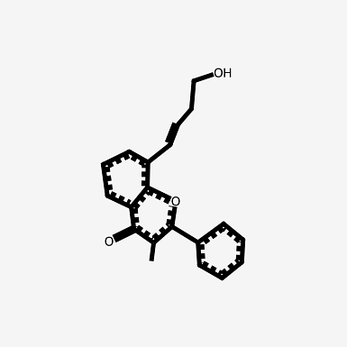 Cc1c(-c2ccccc2)oc2c(C=CCCO)cccc2c1=O